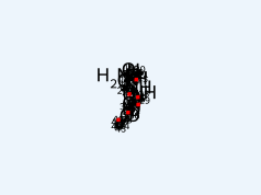 CN(C[C@@H](NC(=O)N[C@H](C(=O)N1C[C@H]2[C@@H]([C@H]1C(N)=O)C2(C)C)C(C)(C)C)C(C)(C)C)S(=O)(=O)N(C)C(=O)OCc1ccccc1